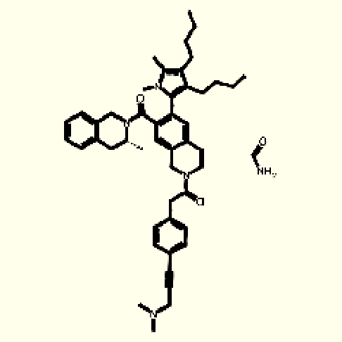 CCCCc1c(CCCC)c(-c2cc3c(cc2C(=O)N2Cc4ccccc4C[C@H]2C)CN(C(=O)Cc2ccc(C#CCN(C)C)cc2)CC3)n(C)c1C.NC=O